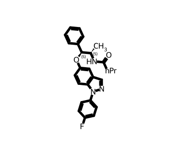 CCCC(=O)N[C@@H](C)[C@@H](Oc1ccc2c(cnn2-c2ccc(F)cc2)c1)c1ccccc1